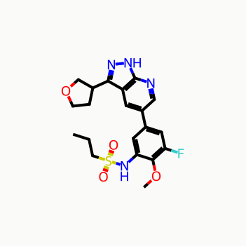 CCCS(=O)(=O)Nc1cc(-c2cnc3[nH]nc(C4CCOC4)c3c2)cc(F)c1OC